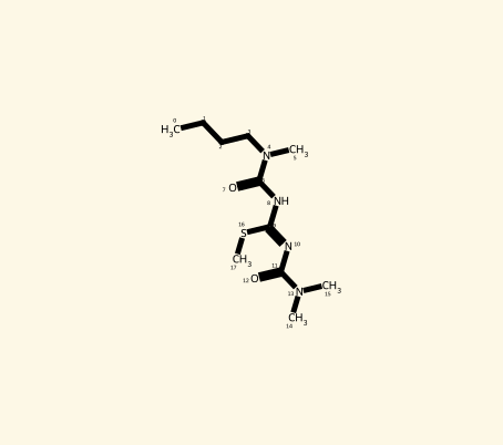 CCCCN(C)C(=O)NC(=NC(=O)N(C)C)SC